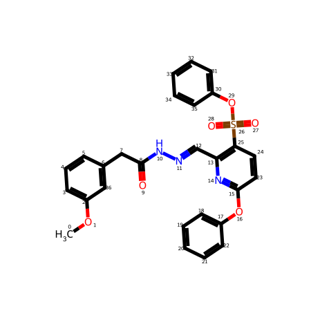 COc1cccc(CC(=O)NN=Cc2nc(Oc3ccccc3)ccc2S(=O)(=O)Oc2ccccc2)c1